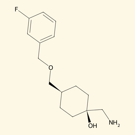 NC[C@]1(O)CC[C@@H](COCc2cccc(F)c2)CC1